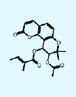 CC=C(C)C(=O)OC1c2c(ccc3ccc(=O)oc23)OC(C)(C)C1OC(C)=O